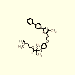 Cc1oc(-c2ccc(-c3ccccc3)cc2)nc1CCOc1ccc(OC(C)(C)C(=O)OCCN(C)C)cc1